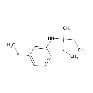 CCC(C)(CC)Nc1cccc(SC)c1